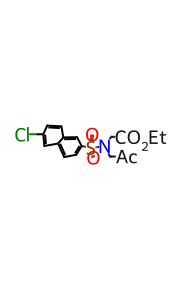 CCOC(=O)CN(CC(C)=O)S(=O)(=O)c1ccc2cc(Cl)ccc2c1